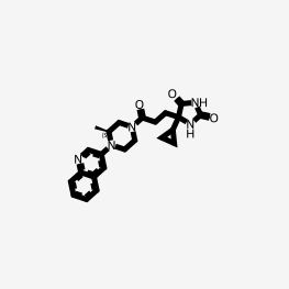 C[C@H]1CN(C(=O)CCC2(C3CC3)NC(=O)NC2=O)CCN1c1cnc2ccccc2c1